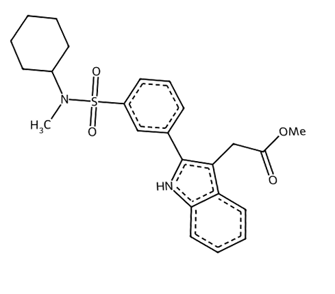 COC(=O)Cc1c(-c2cccc(S(=O)(=O)N(C)C3CCCCC3)c2)[nH]c2ccccc12